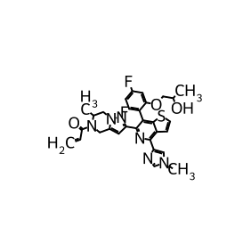 C=CC(=O)N1Cc2cc(-c3nc(-c4cn(C)cn4)c4ccsc4c3-c3c(F)cc(F)cc3OCC(C)O)nn2CC1C